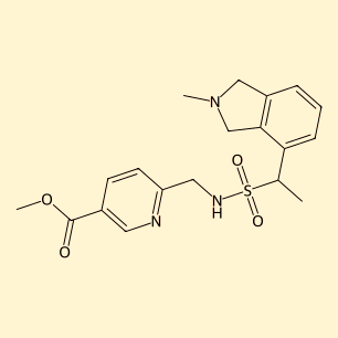 COC(=O)c1ccc(CNS(=O)(=O)C(C)c2cccc3c2CN(C)C3)nc1